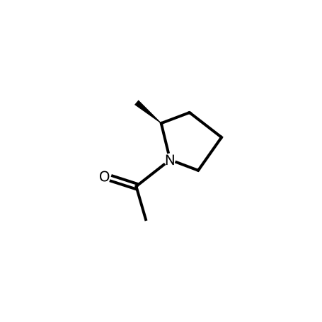 CC(=O)N1CCC[C@@H]1C